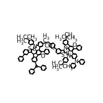 CC(C)(C)c1ccc(N2B3c4sc5ccc(-c6ccccc6)cc5c4C4c5ccc(C6=C(c7ccccc7)C6c6ccccc6)cc5-c5c4c3c(c3c5oc4ccccc43)-c3cc(C(C)(C)Cc4ccc(-c5ccc6sc7c(c6c5)-n5c6ccc(C(C)(C)C)cc6c6c8oc9ccccc9c8c8c(c65)B7N(c5ccc(C(C)(C)C)cc5)c5cc(N(c6ccccc6)c6ccccc6)ccc5-8)cc4)ccc32)cc1